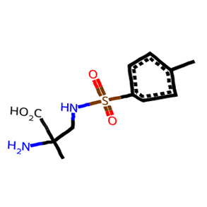 Cc1ccc(S(=O)(=O)NCC(C)(N)C(=O)O)cc1